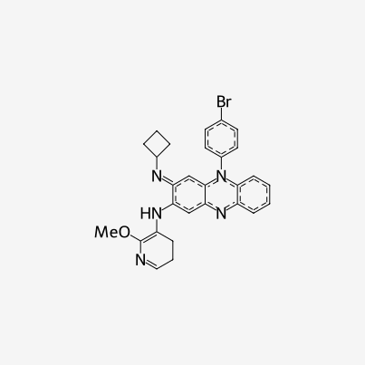 COC1=C(Nc2cc3nc4ccccc4n(-c4ccc(Br)cc4)c-3c/c2=N\C2CCC2)CCC=N1